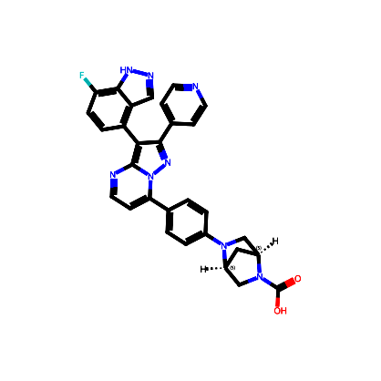 O=C(O)N1C[C@@H]2C[C@H]1CN2c1ccc(-c2ccnc3c(-c4ccc(F)c5[nH]ncc45)c(-c4ccncc4)nn23)cc1